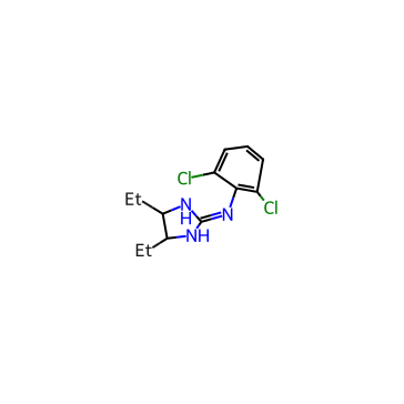 CCC1NC(=Nc2c(Cl)cccc2Cl)NC1CC